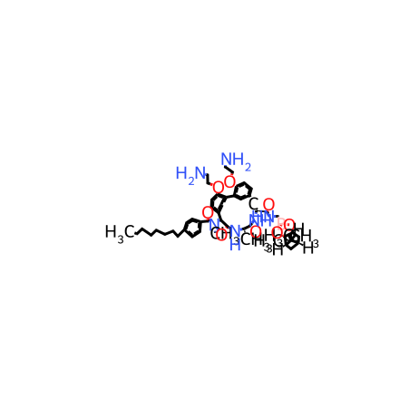 CCCCCCCCc1ccc(C(=O)N(C)[C@@H]2C(=O)N[C@@H](C)C(=O)N[C@H](C(=O)NCB3O[C@@H]4C[C@@H]5C[C@@H](C5(C)C)[C@]4(C)O3)Cc3ccc(OCCN)c(c3)-c3cc2ccc3OCCN)cc1